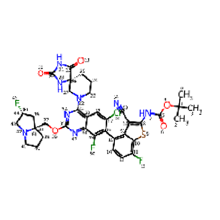 CC(C)(C)OC(=O)Nc1sc2c(F)ccc(-c3c(Cl)cc4c(N5CCC[C@]6(C5)NC(=O)NC6=O)nc(OC[C@@]56CCCN5C[C@H](F)C6)nc4c3F)c2c1C#N